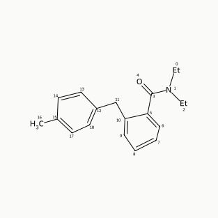 CCN(CC)C(=O)c1ccccc1Cc1ccc(C)cc1